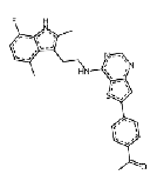 CC(=O)c1ccc(-c2cc3ncnc(NCCc4c(C)[nH]c5c(F)ccc(C)c45)c3s2)cc1